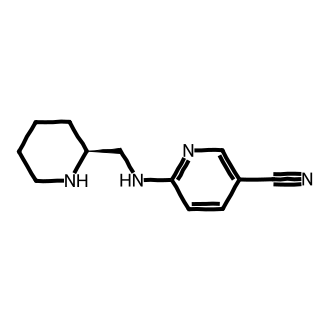 N#Cc1ccc(NC[C@@H]2CCCCN2)nc1